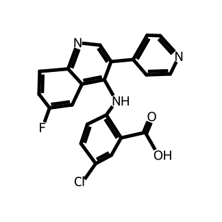 O=C(O)c1cc(Cl)ccc1Nc1c(-c2ccncc2)cnc2ccc(F)cc12